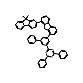 CC1(C)c2ccccc2-c2ccc(-c3cccc4c3Cc3c(-c5cc(-c6ccccc6)cc(-c6nc(-c7ccccc7)nc(-c7ccccc7)n6)c5)cccc3-4)cc21